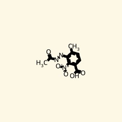 CC(=O)N=Nc1c(C)ccc(C(=O)O)c1[N+](=O)[O-]